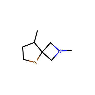 CC1CCSC12CN(C)C2